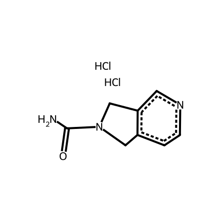 Cl.Cl.NC(=O)N1Cc2ccncc2C1